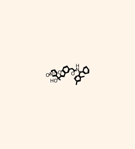 Cc1ccc([C@@H](NC(=O)Cc2ccc3oc(C(C)(O)c4ccc[n+]([O-])c4)cc3c2)c2ccccc2)c(C)c1